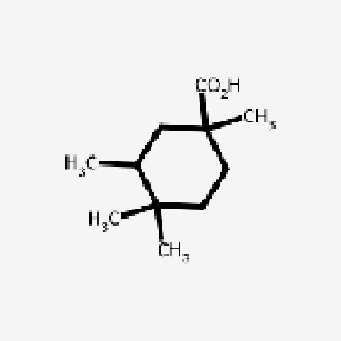 CC1CC(C)(C(=O)O)CCC1(C)C